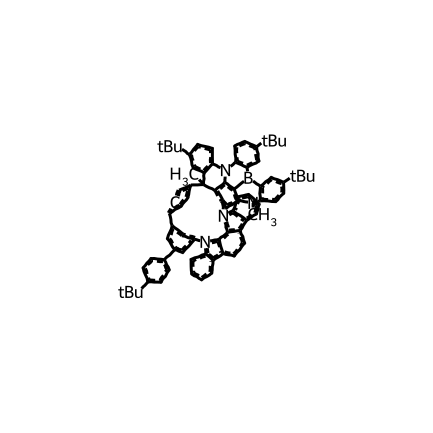 CN1c2ccc(C(C)(C)C)cc2B2c3cc(C(C)(C)C)ccc3N3c4ccc(C(C)(C)C)cc4C4(C)c5ccc(cc5)-c5cc(-c6ccc(C(C)(C)C)cc6)cc(c5)-n5c6ccccc6c6ccc7c8ccccc8n(c7c65)-c5cc1c2c3c54